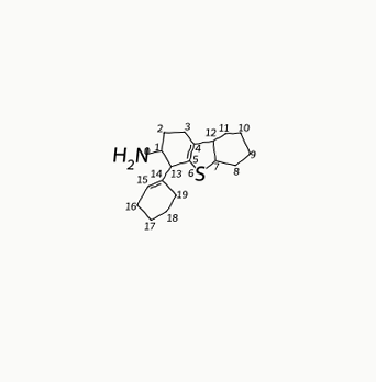 NC1CCC2=C(SC3CCCCC23)C1C1=CCCCC1